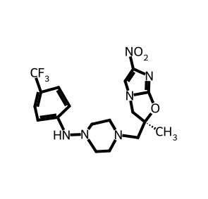 C[C@]1(CN2CCN(Nc3ccc(C(F)(F)F)cc3)CC2)Cn2cc([N+](=O)[O-])nc2O1